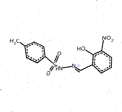 Cc1ccc(S(=O)(=O)N/N=C/c2cccc([N+](=O)[O-])c2O)cc1